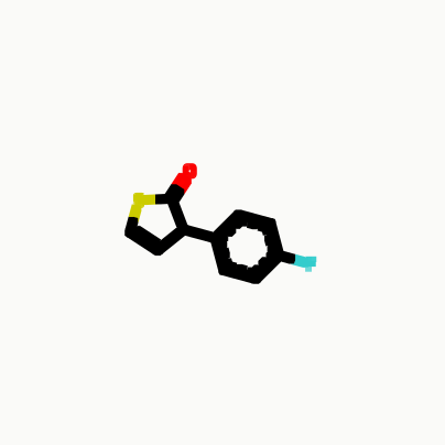 O=C1SC=CC1c1ccc(F)cc1